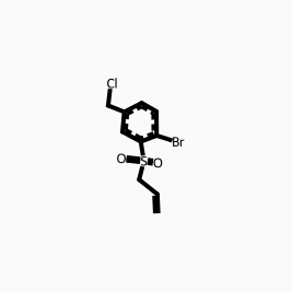 C=CCS(=O)(=O)c1cc(CCl)ccc1Br